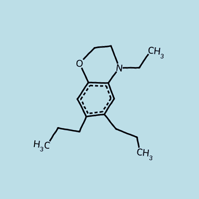 CCCc1cc2c(cc1CCC)N(CC)CCO2